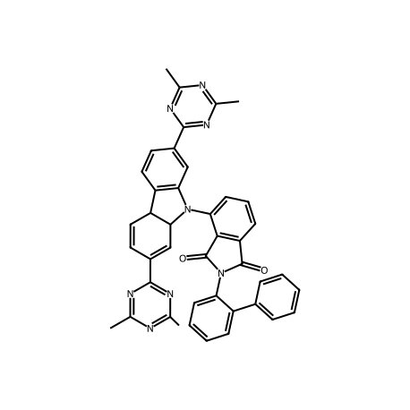 Cc1nc(C)nc(C2=CC3C(C=C2)c2ccc(-c4nc(C)nc(C)n4)cc2N3c2cccc3c2C(=O)N(c2ccccc2-c2ccccc2)C3=O)n1